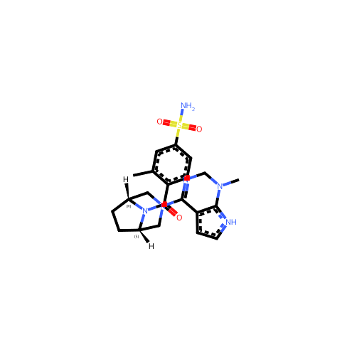 Cc1cc(S(N)(=O)=O)ccc1C(=O)N1[C@@H]2CC[C@H]1CN(C1=NCN(C)c3[nH]ccc31)C2